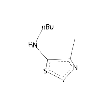 CCCCNc1s[c]nc1C